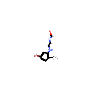 Cc1ccc(Br)cc1NCCNC=O